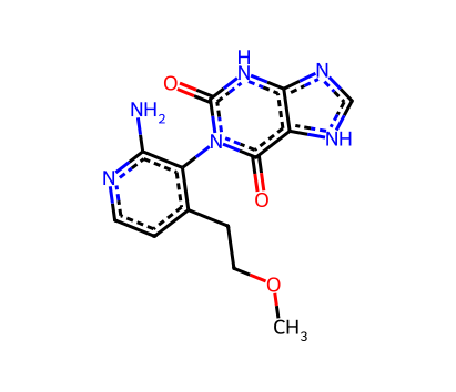 COCCc1ccnc(N)c1-n1c(=O)[nH]c2nc[nH]c2c1=O